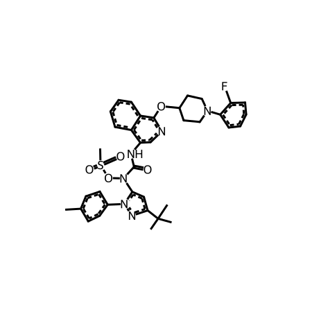 Cc1ccc(-n2nc(C(C)(C)C)cc2N(OS(C)(=O)=O)C(=O)Nc2cnc(OC3CCN(c4ccccc4F)CC3)c3ccccc23)cc1